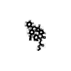 CCOC(=O)CCN(C(=O)c1ccc2c(c1)nc(CC(c1ccccc1)c1ccc(C#N)cc1)n2C)c1ccccn1